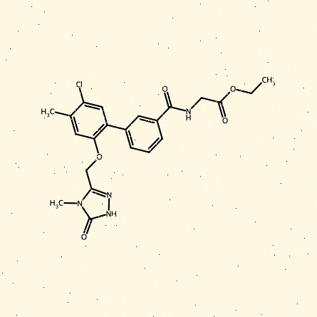 CCOC(=O)CNC(=O)c1cccc(-c2cc(Cl)c(C)cc2OCc2n[nH]c(=O)n2C)c1